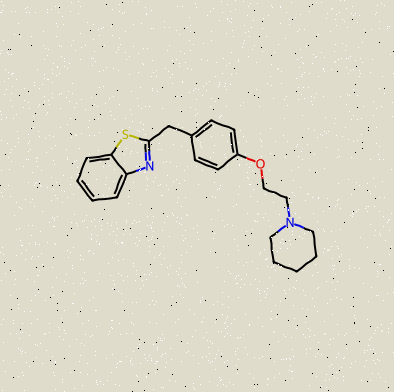 c1ccc2sc(Cc3ccc(OCCN4CCCCC4)cc3)nc2c1